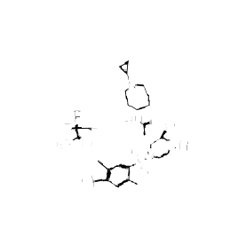 Cc1cc(S(=O)(=O)N2C=CNC(=O)[C@H]2CC(=O)N[C@@H]2CCCN(C3CC3)CC2)c(C)cc1Cl.O=C(O)C(F)(F)F